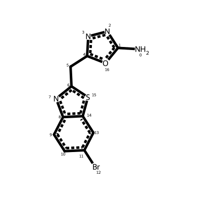 Nc1nnc(Cc2nc3ccc(Br)cc3s2)o1